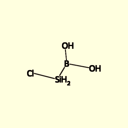 OB(O)[SiH2]Cl